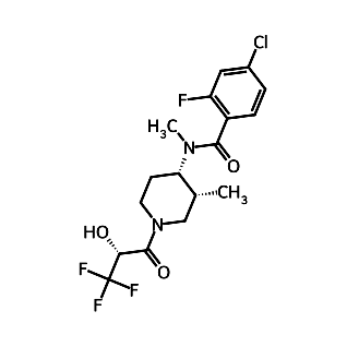 C[C@@H]1CN(C(=O)[C@@H](O)C(F)(F)F)CC[C@@H]1N(C)C(=O)c1ccc(Cl)cc1F